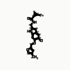 Cc1cc(COc2cc3[nH]c(CNC(=O)C4CC4F)cc3cc2Cl)on1